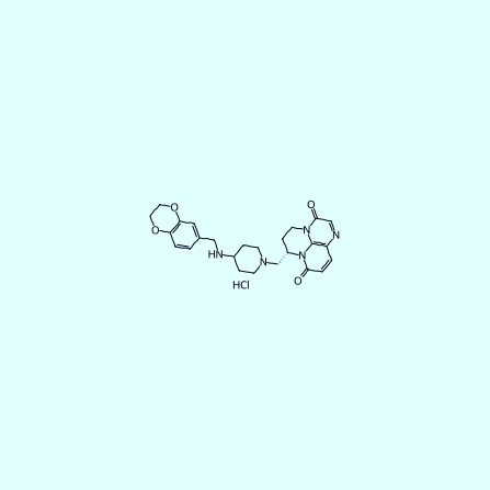 Cl.O=c1cnc2ccc(=O)n3c2n1CC[C@H]3CN1CCC(NCc2ccc3c(c2)OCCO3)CC1